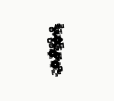 CC(C)(C)C(=O)NCc1ccc(Cl)c(C(=O)Nc2cccc3c2cnn3-c2cccc(OC(F)(F)F)c2)c1Cl